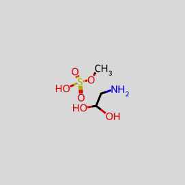 COS(=O)(=O)O.NCC(O)O